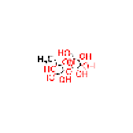 CCC(O)C(O)C(O[C@H]1O[C@H](CO)[C@@H](O)[C@H](O)[C@H]1O)C(O)CO